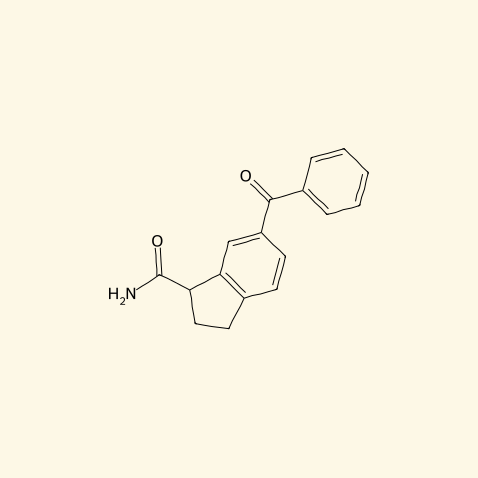 NC(=O)C1CCc2ccc(C(=O)c3ccccc3)cc21